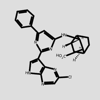 O=C(O)[C@@H]1C2CCC(CC2)[C@H]1Nc1cc(-c2ccccc2)nc(-c2c[nH]c3ncc(Cl)nc23)n1